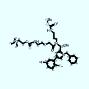 CC(C)(C)OC(=O)NCCCN(C(=O)CSCCNC(=O)OCC[Si](C)(C)C)[C@@H](c1nc(-c2cc(F)ccc2F)cn1Cc1ccccc1)C(C)(C)C